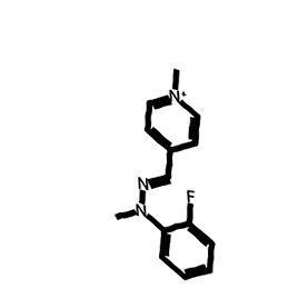 CN(N=Cc1cc[n+](C)cc1)c1ccccc1F